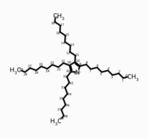 CCCCCCCCCC1=C(CCCCCCCCC)C(CCCCCCCCC)=C(CCCCCCCCC)[N]1